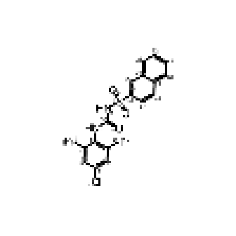 CC(C)c1cc(Cl)cc(C(C)C)c1NC(=O)NS(=O)(=O)c1ccc2ccccc2c1